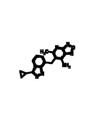 Cc1nc2nonc2c(N)c1Cc1cccn2c(C3CC3)nnc12